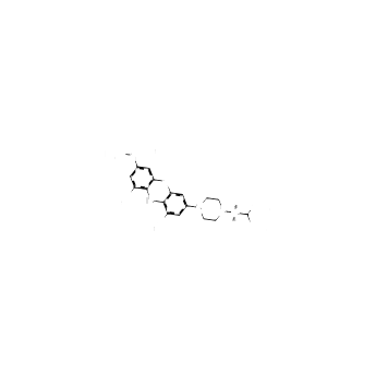 Cc1cc(N(C)C)cc2c1Nc1c(C)cc(N3CCN(S(=O)(=O)C(C)C)CC3)cc1S2